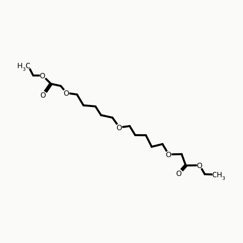 CCOC(=O)COCCCCCOCCCCCOCC(=O)OCC